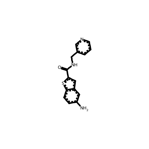 Nc1ccc2sc(C(=O)NCc3cccnc3)cc2c1